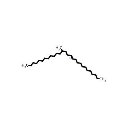 [CH2]CCCCCCCCCC/C=C/CCC(C)CCCCCCCCCCC[CH2]